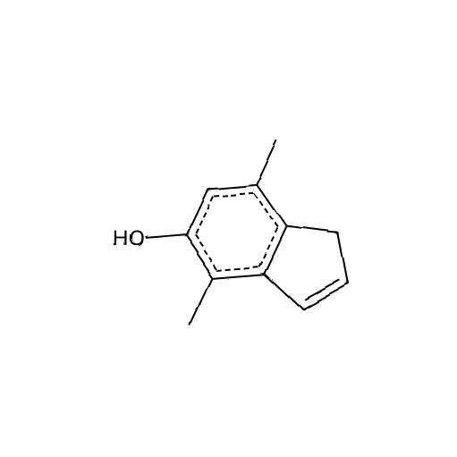 Cc1cc(O)c(C)c2c1CC=C2